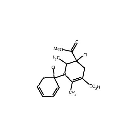 COC(=O)C1(Cl)CC(C(=O)O)=C(C)N(C2(Cl)C=CC=CC2)C1C(F)(F)F